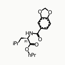 CCCOC(=O)[C@@H](CC(C)C)NC(=O)c1ccc2c(c1)OCO2